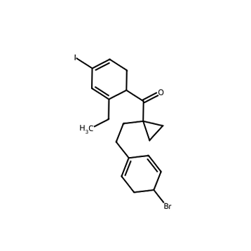 CCC1=CC(I)=CCC1C(=O)C1(CCC2=CCC(Br)C=C2)CC1